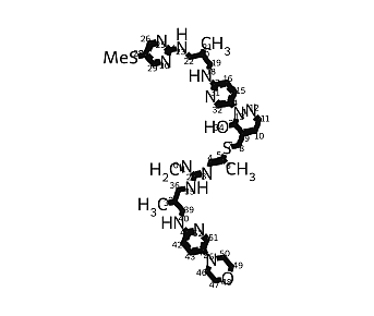 C=N/C(=N\C=C(/C)SCC1=CC=NN(c2ccc(NCC(C)CNc3ncc(SC)cn3)nc2)C1O)NCC(C)CNc1ccc(N2CCOCC2)cn1